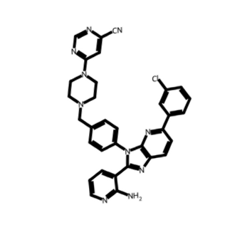 N#Cc1cc(N2CCN(Cc3ccc(-n4c(-c5cccnc5N)nc5ccc(-c6cccc(Cl)c6)nc54)cc3)CC2)ncn1